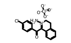 N[N+]1=C(C(=O)c2ccc(Cl)cc2)c2ccccc2CC1.[O-][Cl+3]([O-])([O-])[O-]